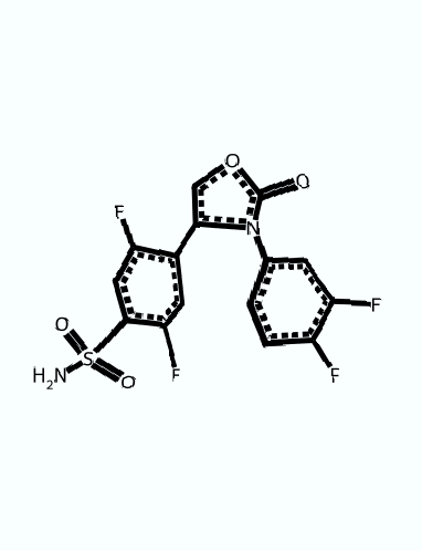 NS(=O)(=O)c1cc(F)c(-c2coc(=O)n2-c2ccc(F)c(F)c2)cc1F